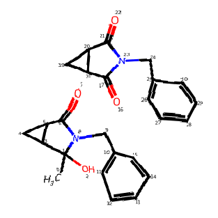 CC1(O)C2CC2C(=O)N1Cc1ccccc1.O=C1C2CC2C(=O)N1Cc1ccccc1